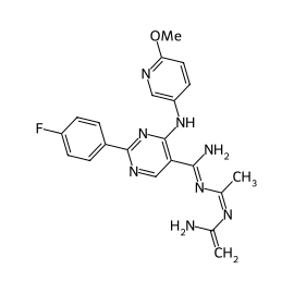 C=C(N)/N=C(C)\N=C(/N)c1cnc(-c2ccc(F)cc2)nc1Nc1ccc(OC)nc1